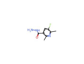 Cc1nc(C)c(C(=O)NN)cc1F